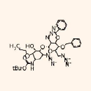 C=CCOC1[C@@H](O)C(O[C@H]2OC(CN=[N+]=[N-])[C@@H](OCc3ccccc3)[C@H](OCc3ccccc3)C2N=[N+]=[N-])C(N=[N+]=[N-])C[C@H]1NC(=O)OC(C)(C)C